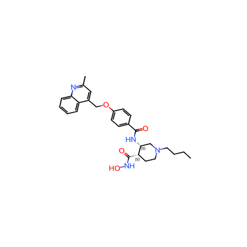 CCCCN1CC[C@H](C(=O)NO)[C@H](NC(=O)c2ccc(OCc3cc(C)nc4ccccc34)cc2)C1